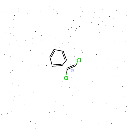 Cl/C=C/Cl.c1ccccc1